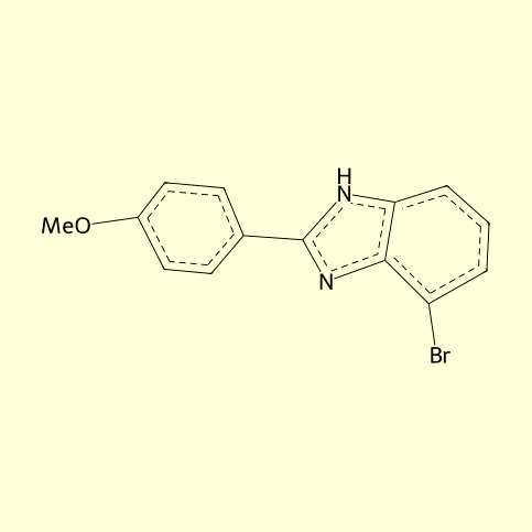 COc1ccc(-c2nc3c(Br)cccc3[nH]2)cc1